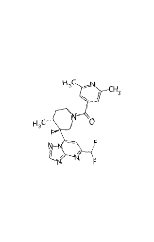 Cc1cc(C(=O)N2CC[C@@H](C)[C@@](F)(c3cc(C(F)F)nc4ncnn34)C2)cc(C)n1